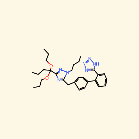 CCCCn1nc(C(CCC)(OCCC)OCCC)nc1Cc1ccc(-c2ccccc2-c2nnn[nH]2)cc1